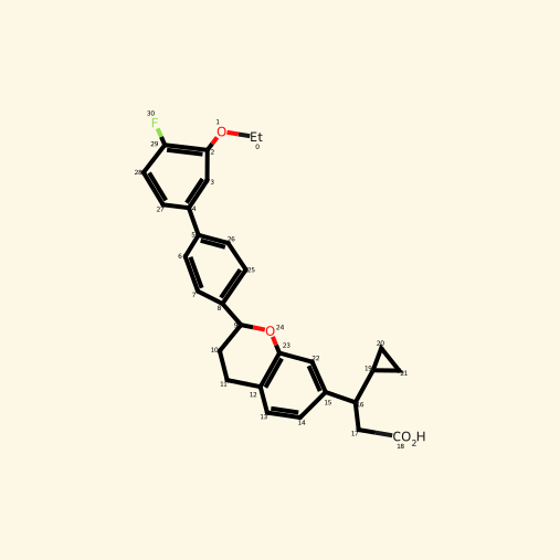 CCOc1cc(-c2ccc(C3CCc4ccc(C(CC(=O)O)C5CC5)cc4O3)cc2)ccc1F